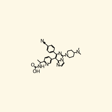 CC(NC(=O)O)c1ccc(-c2c(-c3ccc(C#N)cc3)nc(N3CCC(N(C)C)CC3)n3ccnc23)cn1